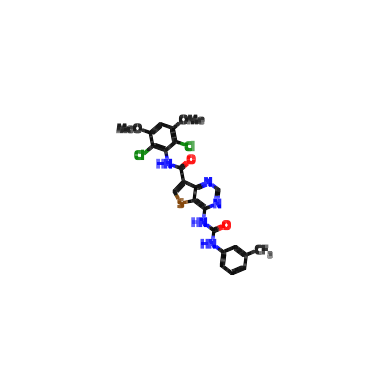 COc1cc(OC)c(Cl)c(NC(=O)c2csc3c(NC(=O)Nc4cccc(C(F)(F)F)c4)ncnc23)c1Cl